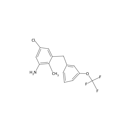 Cc1c(N)cc(Cl)cc1Cc1cccc(OC(F)(F)F)c1